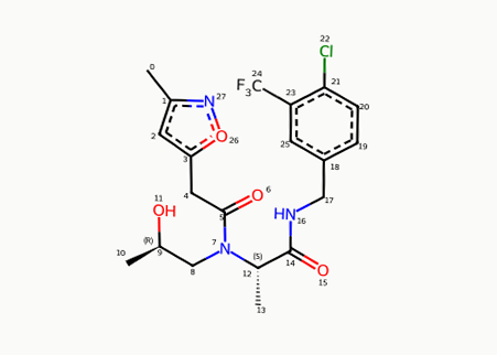 Cc1cc(CC(=O)N(C[C@@H](C)O)[C@@H](C)C(=O)NCc2ccc(Cl)c(C(F)(F)F)c2)on1